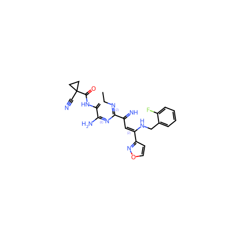 C=C(NC(=O)C1(C#N)CC1)/C(N)=N\C(=N/CC)C(=N)/C=C(\NCc1ccccc1F)c1ccon1